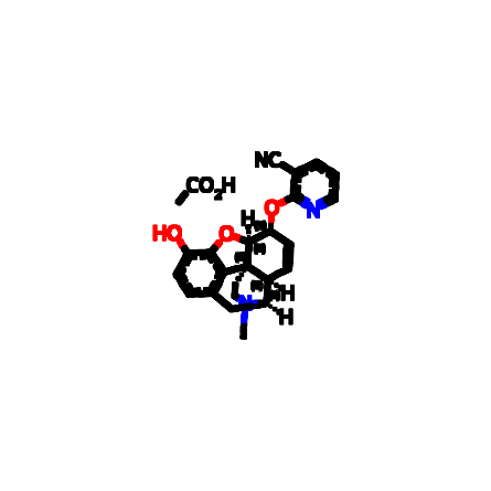 CC(=O)O.CN1CC[C@]23c4c5ccc(O)c4O[C@H]2[C@@H](Oc2ncccc2C#N)C=C[C@H]3[C@H]1C5